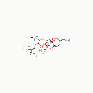 CC(=O)O[C@@H]1CCC(=CCI)CO[C@@]1(C)CCCC(C)C(=O)CC=C(C)C